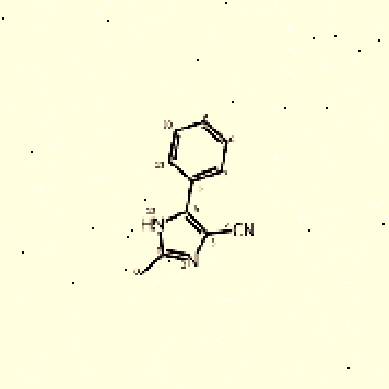 Cc1nc(C#N)c(-c2ccccc2)[nH]1